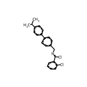 CC(C)c1ccc(-c2ccc(CN=C(Cl)c3ccccc3Cl)cc2)cc1